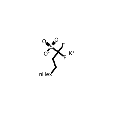 CCCCCCCCC(F)(F)S(=O)(=O)[O-].[K+]